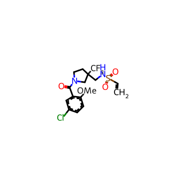 C=CS(=O)(=O)NCC1(C(F)(F)F)CCN(C(=O)c2cc(Cl)ccc2OC)C1